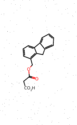 O=C(O)CC(=O)OCc1cccc2c1Cc1ccccc1-2